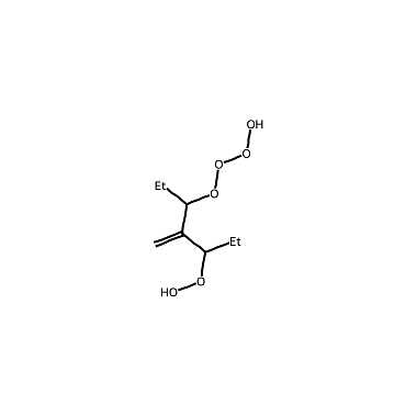 C=C(C(CC)OO)C(CC)OOOO